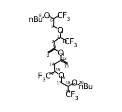 C=C(CC(OCC(OCCCC)C(F)(F)F)C(F)(F)F)OC(=C)CC(OCC(OCCCC)C(F)(F)F)C(F)(F)F